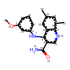 COc1cccc(Nc2c(C(N)=O)cnc3c(C)cc(C)cc23)c1